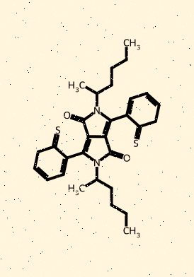 CCCCC(C)N1C(=O)C2=C(C3=CC=CCC3=S)N(C(C)CCCC)C(=O)C2=C1C1=CC=CCC1=S